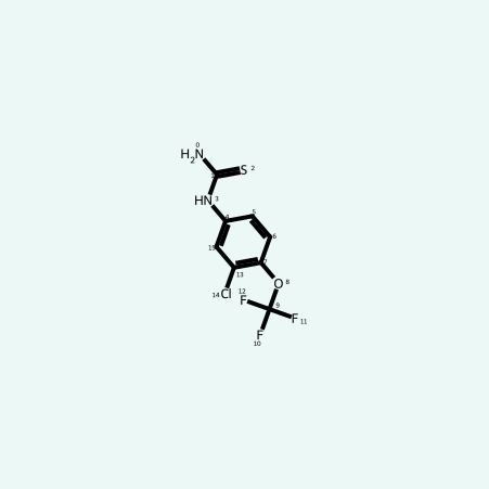 NC(=S)Nc1ccc(OC(F)(F)F)c(Cl)c1